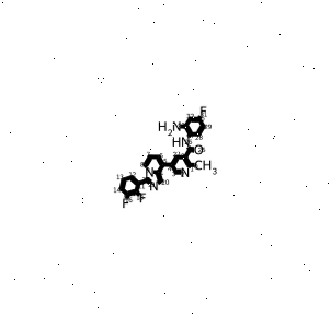 Cc1ncc(-c2cccn3c(-c4cccc(F)c4F)ncc23)cc1C(=O)Nc1ccc(F)cc1N